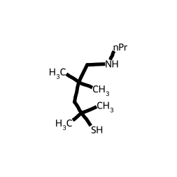 CCCNCC(C)(C)CC(C)(C)S